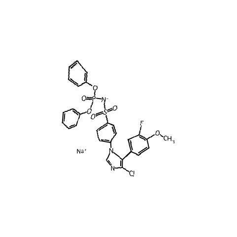 COc1ccc(-c2c(Cl)ncn2-c2ccc(S(=O)(=O)[N-]P(=O)(Oc3ccccc3)Oc3ccccc3)cc2)cc1F.[Na+]